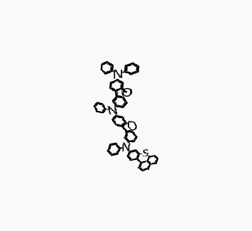 c1ccc(N(c2ccccc2)c2ccc3c(c2)oc2ccc(N(c4ccccc4)c4ccc5c(c4)oc4ccc(N(c6ccccc6)c6ccc7c(c6)Sc6cccc8cccc-7c68)cc45)cc23)cc1